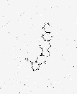 COc1ccc(CC2CCN(Cc3c(Cl)cccc3Cl)C2=O)cc1